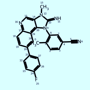 Cc1ccc(C#N)cc1-n1c(=N)n(C)c2cnc3ccc(-c4ccc(F)cc4)cc3c21